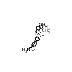 CC(C)C1=C(O)CCc2cnc(Nc3ccc(N4CCN(C(=O)CN)CC4)cc3)nc21